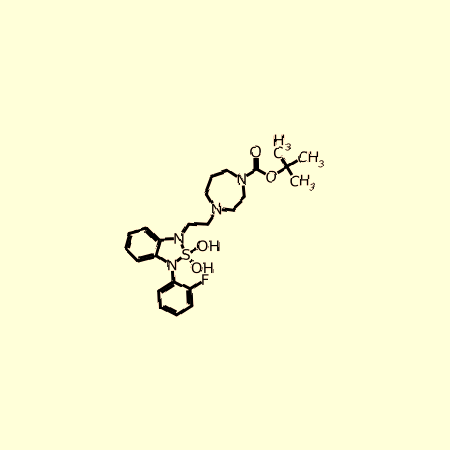 CC(C)(C)OC(=O)N1CCCN(CCN2c3ccccc3N(c3ccccc3F)S2(O)O)CC1